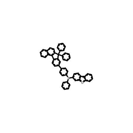 c1ccc(N(c2ccc(-c3ccc4c(c3)C(c3ccccc3)(c3ccccc3)c3ccc5ccccc5c3-4)cc2)c2ccc3c(c2)oc2ccccc23)cc1